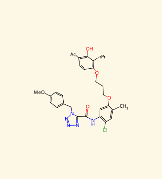 CCCc1c(OCCCOc2cc(NC(=O)c3nnnn3Cc3ccc(OC)cc3)c(Cl)cc2C)ccc(C(C)=O)c1O